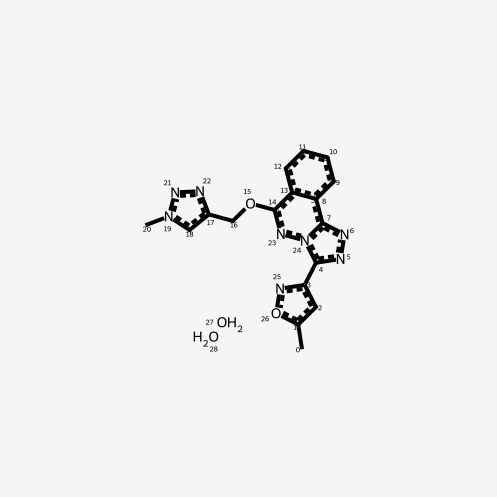 Cc1cc(-c2nnc3c4ccccc4c(OCc4cn(C)nn4)nn23)no1.O.O